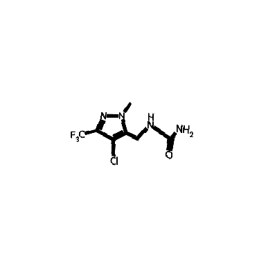 Cn1nc(C(F)(F)F)c(Cl)c1CNC(N)=O